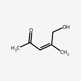 CC(=O)C=C(C)CO